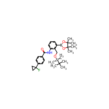 CC1(C)OB(c2cccc(NC(=O)c3ccc(C4(F)CC4)cc3)c2CO[Si](C)(C)C(C)(C)C)OC1(C)C